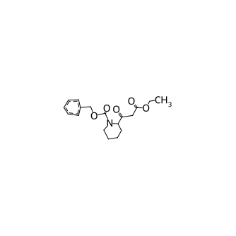 CCOC(=O)CC(=O)C1CCCCN1C(=O)OCc1ccccc1